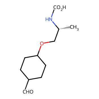 C[C@H](COC1CCC(C=O)CC1)NC(=O)O